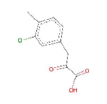 Cc1ccc(CC(=O)C(=O)O)cc1Cl